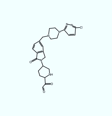 O=CC(=O)C1CCC(N2Cc3cc(CN4CCN(c5ccc(Cl)nn5)CC4)ccc3C2=O)CN1